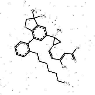 CCCCCCCc1ccccc1-c1cc([C@@]2(C)C[C@H]2C=CC(C)=CC(=O)O)cc2c1OCC2(C)C